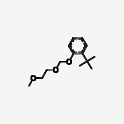 COCCOCOc1ccccc1C(C)(C)C